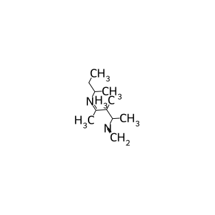 C=NC(C)C(C)/C(C)=N\C(C)CC